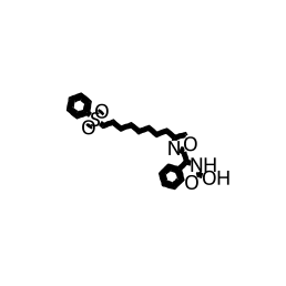 O=C(O)NC(C1=NC(CCCCCCCCS(=O)(=O)c2ccccc2)CO1)c1ccccc1